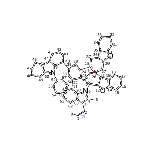 C/C=C\c1c(C)n(-c2cccc3c2oc2ccccc23)c2c(-c3cc(-c4ccc5oc6ccccc6c5c4)cc(-c4cccc5c6ccccc6n(-c6ccccc6)c45)c3)cccc12